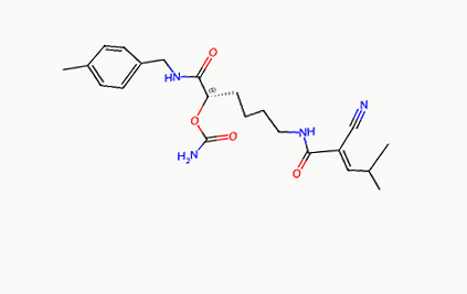 Cc1ccc(CNC(=O)[C@H](CCCCNC(=O)C(C#N)=CC(C)C)OC(N)=O)cc1